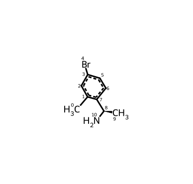 Cc1cc(Br)ccc1[C@@H](C)N